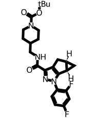 CC(C)(C)OC(=O)N1CCC(CNC(=O)c2nn(-c3ccc(F)cc3F)c3c2C[C@H]2C[C@@H]32)CC1